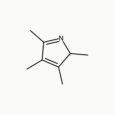 C[C]1N=C(C)C(C)=C1C